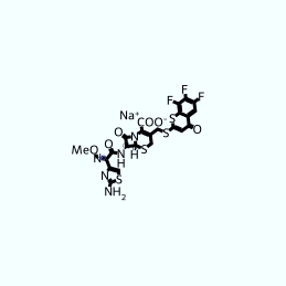 CO/N=C(\C(=O)N[C@@H]1C(=O)N2C(C(=O)[O-])=C(CSc3cc(=O)c4cc(F)c(F)c(F)c4s3)CS[C@@H]12)c1csc(N)n1.[Na+]